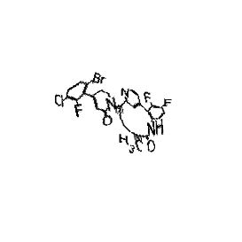 C[C@@H]1CCC[C@H](N2CCC(c3c(Br)ccc(Cl)c3F)=CC2=O)c2cc(ccn2)-c2c(ccc(F)c2F)NC1=O